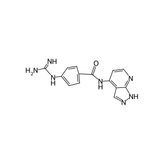 N=C(N)Nc1ccc(C(=O)Nc2ccnc3[nH]ncc23)cc1